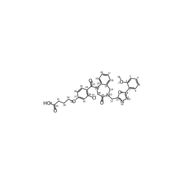 COc1ccccc1-c1nnc(CN2Cc3ccccc3N(C(=O)c3ccc(OCCCC(=O)O)cc3Cl)CC2=O)o1